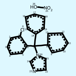 Clc1ccccc1C(c1ccccc1)(c1ccccc1)n1ccnc1.O=[N+]([O-])O